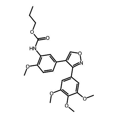 CCCOC(=O)Nc1cc(-c2conc2-c2cc(OC)c(OC)c(OC)c2)ccc1OC